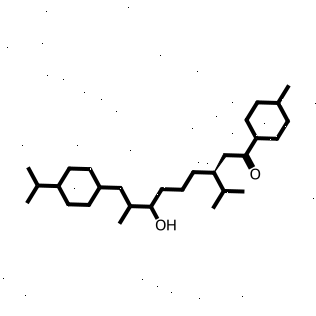 CC1CCC(C(=O)C[C@H](CCCC(O)C(C)CC2CCC(C(C)C)CC2)C(C)C)CC1